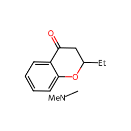 CCC1CC(=O)c2ccccc2O1.CNC